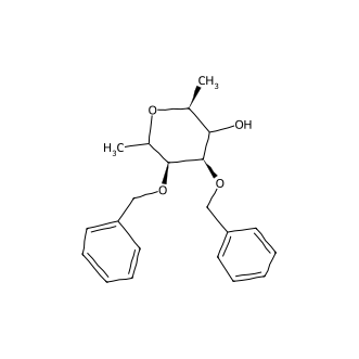 CC1O[C@@H](C)C(O)[C@@H](OCc2ccccc2)[C@H]1OCc1ccccc1